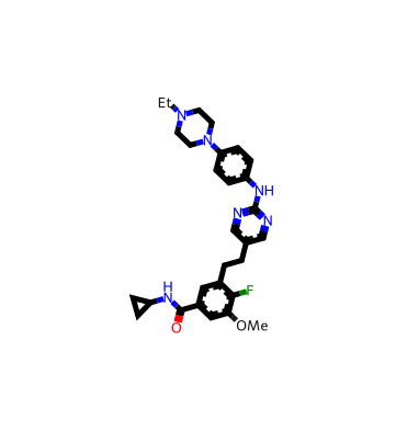 CCN1CCN(c2ccc(Nc3ncc(CCc4cc(C(=O)NC5CC5)cc(OC)c4F)cn3)cc2)CC1